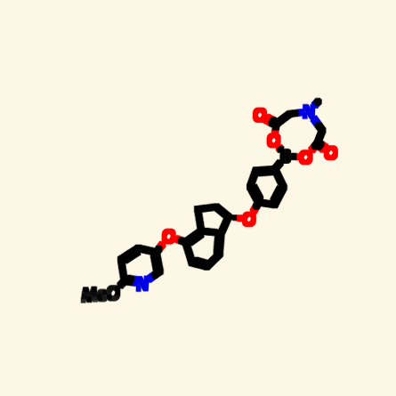 COc1ccc(Oc2cccc3c2CC[C@H]3Oc2ccc(B3OC(=O)CN(C)CC(=O)O3)cc2)cn1